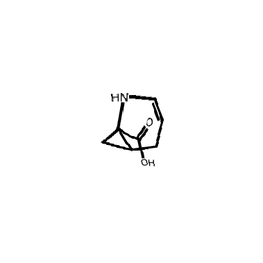 O=C(O)C12CC1CC=CN2